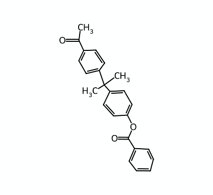 CC(=O)c1ccc(C(C)(C)c2ccc(OC(=O)c3ccccc3)cc2)cc1